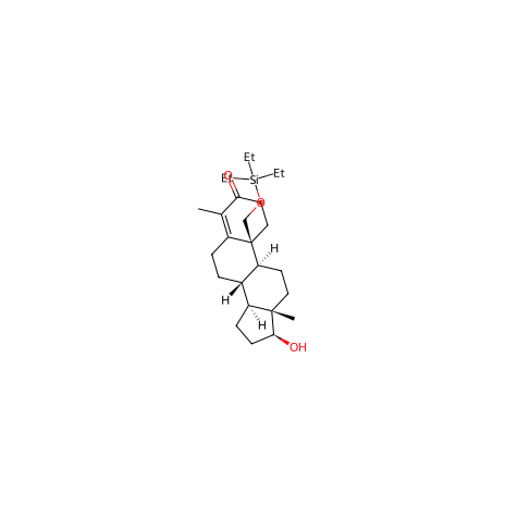 CC[Si](CC)(CC)OC[C@]12CCC(=O)C(C)=C1CC[C@@H]1[C@@H]2CC[C@]2(C)[C@@H](O)CC[C@@H]12